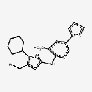 CC(C)Cc1cc(Nc2ncc(-c3cccs3)cc2C(=O)O)nn1C1CCCCC1